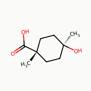 C[C@]1(O)CC[C@](C)(C(=O)O)CC1